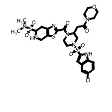 CN(C)S(=O)(=O)C1Cc2nc(C(=O)N3CCN(S(=O)(=O)c4cc5cc(Cl)ccc5[nH]4)CC3CC(=O)N3CCOCC3)sc2CN1